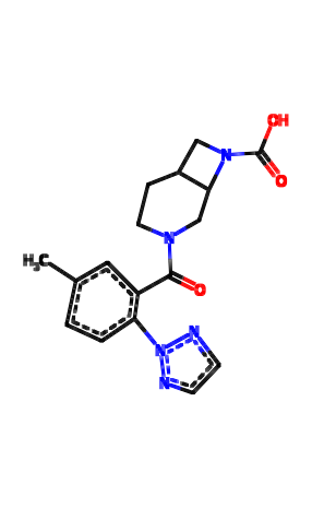 Cc1ccc(-n2nccn2)c(C(=O)N2CCC3CN(C(=O)O)C3C2)c1